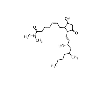 CCCC[C@H](C)C[C@H](O)/C=C/[C@H]1C(=O)C[C@H](O)[C@@H]1C/C=C\CCCC(=O)N(C)C